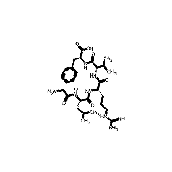 CC(C)C[C@H](NC(=O)CN)C(=O)N[C@@H](CCCNC(=N)N)C(=O)N[C@H](C(=O)N[C@@H](Cc1ccccc1)C(=O)O)C(C)C